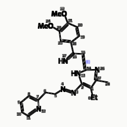 CCC1=C(N=NCCc2ccccn2)N/C(=C\C(=N)c2ccc(OC)c(OC)c2)N=C1C